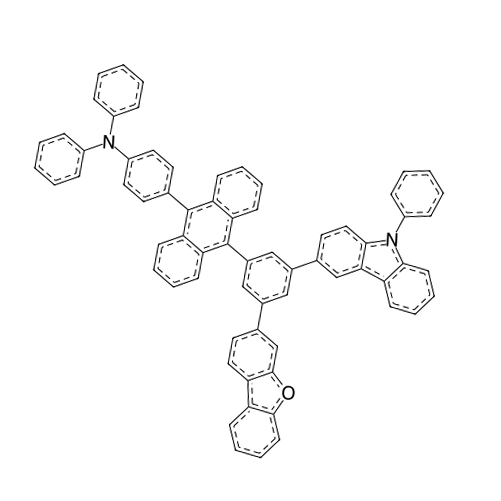 c1ccc(N(c2ccccc2)c2ccc(-c3c4ccccc4c(-c4cc(-c5ccc6c(c5)oc5ccccc56)cc(-c5ccc6c(c5)c5ccccc5n6-c5ccccc5)c4)c4ccccc34)cc2)cc1